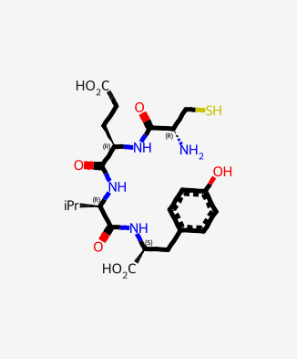 CC(C)[C@@H](NC(=O)[C@@H](CCC(=O)O)NC(=O)[C@@H](N)CS)C(=O)N[C@@H](Cc1ccc(O)cc1)C(=O)O